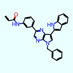 C=CC(=O)Nc1cccc(-c2cnc3c(n2)c(-c2cc4ccccc4[nH]2)cn3Cc2ccccc2)c1